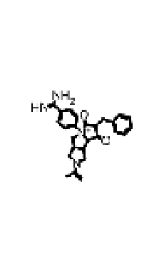 C=C(C)N1[CH]C2C(C1)C[N+]1(c3ccc(C(=N)N)cc3)C(=O)C(Cc3ccccc3)C(=O)C21